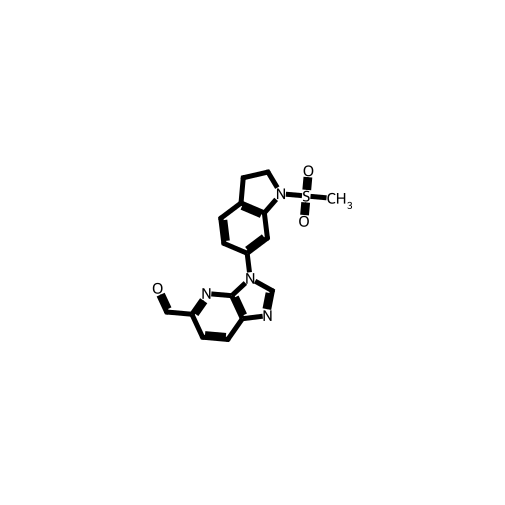 CS(=O)(=O)N1CCc2ccc(-n3cnc4ccc(C=O)nc43)cc21